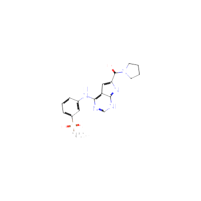 CNS(=O)(=O)c1cccc(Nc2nc[nH]c3nc(C(=O)N4CCCC4)cc2-3)c1